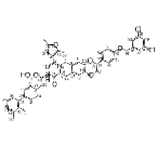 Cc1nc(C(=O)N2Cc3cc4c(cc3C[C@H]2C(=O)NC(Cc2ccc(-c3ccnc(C)c3C)cc2)C(=O)O)OC[C@H](c2ccc(OCc3cc(Cl)cc(Cl)c3)cc2)O4)c(C)o1